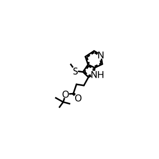 CSc1c(CCC(=O)OC(C)(C)C)[nH]c2cnccc12